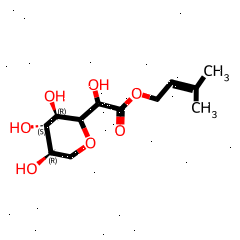 CC(C)=CCOC(=O)C(O)C1OC[C@@H](O)[C@H](O)[C@H]1O